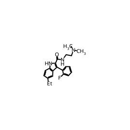 CCc1ccc2[nH]c(C(=O)NCCN(C)C)c(-c3ccccc3F)c2c1